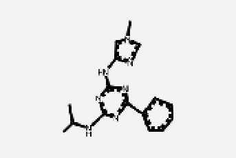 CC(C)Nc1nc(Nc2cn(C)cn2)nc(-c2ccccc2)n1